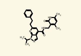 Cc1cc(C)c(CNC(=O)c2cc(CCc3ccccc3)nc3c2cnn3C(C)C)c(=O)[nH]1